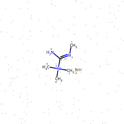 Br.C/N=C(\N)[N+](C)(C)C